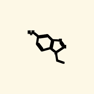 CCn1nnc2cc(N)ccc21